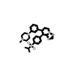 CC(C)S(=O)(=O)c1ccc(-c2c(-c3cccc(N4CCN(C)CC4)c3)ccn3n[c]nc23)cc1